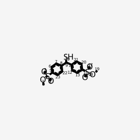 COS(=O)(=O)c1ccc(C(S)c2ccc(S(=O)(=O)OC)cc2)cc1